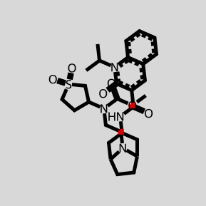 COC(=O)N(CCN1C2CCC1CC(NC(=O)c1cc3ccccc3n(C(C)C)c1=O)C2)C1CCS(=O)(=O)C1